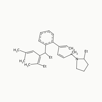 C=C(/C=C\C(=C/C)c1ccccc1C(CC)/C(C=C(C)C)=C(/C)CC)N1CCCC1CC